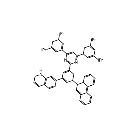 CC(C)C1=CC(c2cc(C3=CC(C(C)C)CC(C(C)C)=C3)nc(C3=CC(c4ccc5c(c4)NCC=C5)=CC(C4C=c5ccccc5=C5C=CC=CC54)C3)n2)CC(C(C)C)=C1